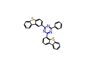 c1ccc(-c2nc(-c3ccc4sc5ccccc5c4c3)nc(-c3cccc4c3sc3ccccc34)n2)cc1